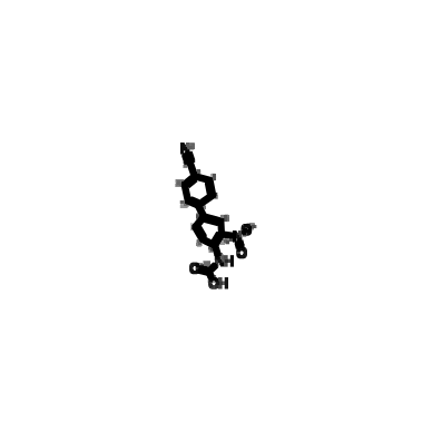 N#Cc1ccc(-c2ccc(NC(=O)O)c([N+](=O)[O-])c2)cc1